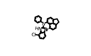 Clc1cccc2nc(N(c3ccccc3)c3ccc4c5c(ccc(Br)c35)CC4)[nH]c12